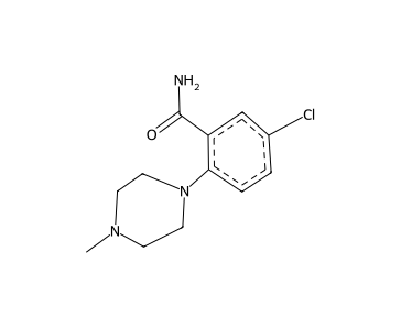 CN1CCN(c2ccc(Cl)cc2C(N)=O)CC1